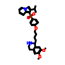 COc1cc2c(cc1OC)C(CCCCOc1ccc(S(=O)(=O)c3c(C(C)C)cn4ccccc34)cc1)NCC2